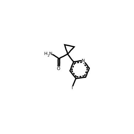 NC(=O)C1(c2cc(I)ccn2)CC1